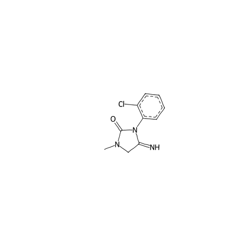 CN1CC(=N)N(c2ccccc2Cl)C1=O